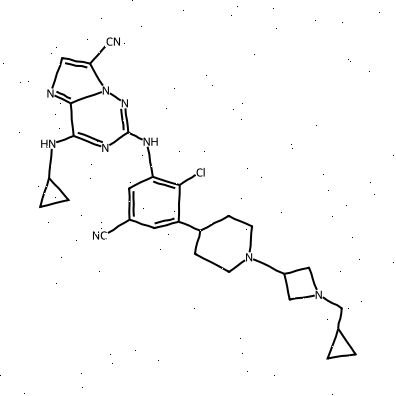 N#Cc1cc(Nc2nc(NC3CC3)c3ncc(C#N)n3n2)c(Cl)c(C2CCN(C3CN(CC4CC4)C3)CC2)c1